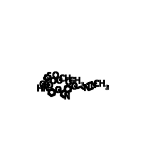 COC(=O)Oc1sccc1S(=O)(=O)Nc1cccc(Oc2ccnc3cc(OCCCN4CCN(C)CC4)c(OC)cc23)c1